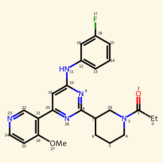 CCC(=O)N1CCCC(c2nc(Nc3cccc(F)c3)cc(-c3cnccc3OC)n2)C1